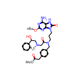 CCCCOc1nc(N)c2[nH]c(=O)n(CCCN(Cc3ccc(CC(=O)OC)cc3)C(=O)CN(C)CC(O)c3ccccc3)c2n1